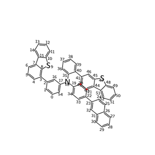 c1cc(-c2cccc3c2sc2ccccc23)cc(N(c2ccc(-c3ccc4ccccc4c3)cc2)c2ccccc2-c2ccc3c(c2)sc2ccccc23)c1